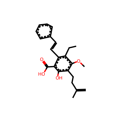 C=C(C)CCc1c(O)c(C(=O)O)c(C=Cc2ccccc2)c(CC)c1OC